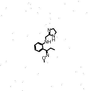 CC/C(=N/OC)c1ccccc1NCC1=NCCN1